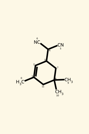 CC1=CC(C(C#N)C#N)CC(C)(C)C1